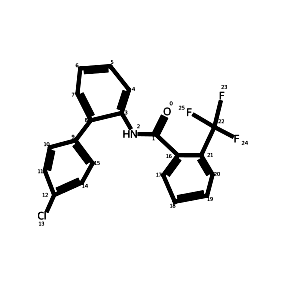 O=C(Nc1ccccc1-c1ccc(Cl)cc1)c1ccccc1C(F)(F)F